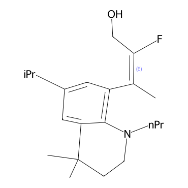 CCCN1CCC(C)(C)c2cc(C(C)C)cc(/C(C)=C(/F)CO)c21